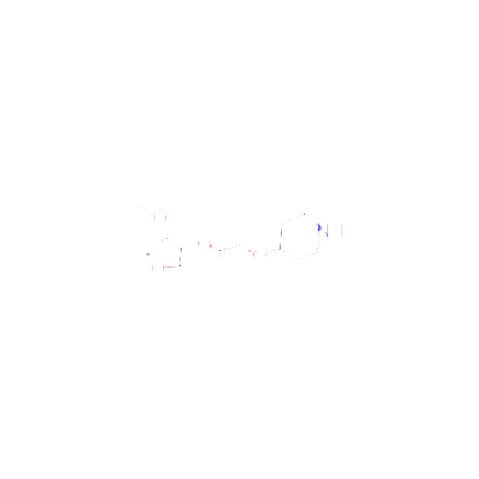 CO[C@H]1COC[C@H]1OCCOC1CCNCC1